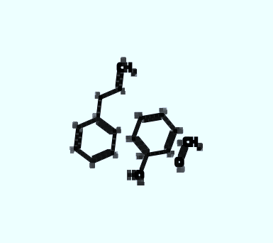 C=CCc1ccccc1.C=O.Oc1ccccc1